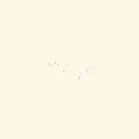 Cc1ccc(CNC(=O)C2CCC(NC(=O)COc3ccc(Cl)c(Cl)c3)CC2)nc1